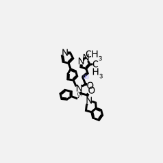 Cc1c(/C=C/C(=O)N(Cc2ccc(-c3ccncc3)cc2)[C@@H](Cc2ccccc2)C(=O)N2CCc3ccccc3C2)cnn1C